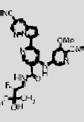 COc1cc(Nc2cc(-c3ccc4cc(C#N)cnn34)ncc2C(=O)NC[C@@H](F)C(C)(C)O)cnc1OC